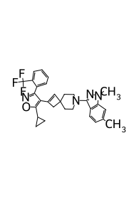 Cc1ccc2c(N3CCC4(C=C(c5c(-c6ccccc6C(F)(F)F)noc5C5CC5)C4)CC3)nn(C)c2c1